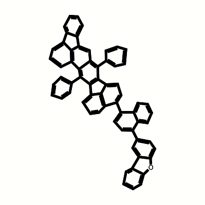 c1ccc(-c2c3cc4c5ccccc5c5cccc(c3c(-c3ccccc3)c3c6cccc7c(-c8ccc(-c9ccc%10oc%11ccccc%11c%10c9)c9ccccc89)ccc(c23)c76)c54)cc1